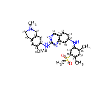 COc1cc2c(cc1Nc1ncc3ccc(Nc4cc(S(C)(=O)=O)c(C)cc4C)cc3n1)CN(C)CC2